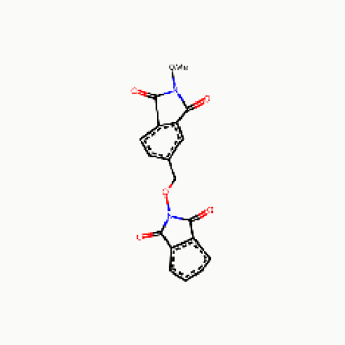 CON1C(=O)c2ccc(CON3C(=O)c4ccccc4C3=O)cc2C1=O